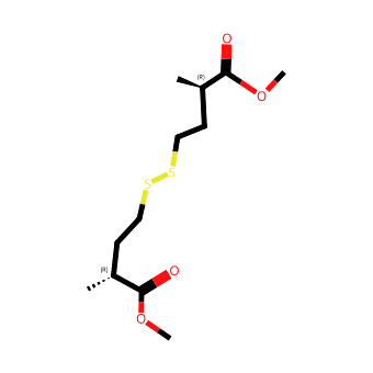 COC(=O)[C@H](C)CCSSCC[C@@H](C)C(=O)OC